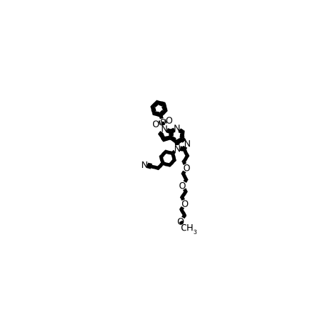 COCCOCCOCCOCCc1nc2cnc3c(ccn3S(=O)(=O)c3ccccc3)c2n1C1CCC(CC#N)CC1